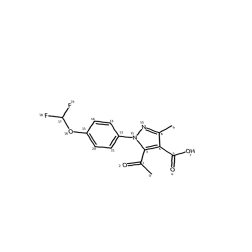 CC(=O)c1c(C(=O)O)c(C)nn1-c1ccc(OC(F)F)cc1